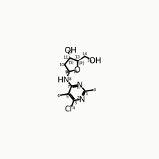 Cc1nc(Cl)c(C)c(N[C@H]2C[C@H](O)[C@@H](CO)O2)n1